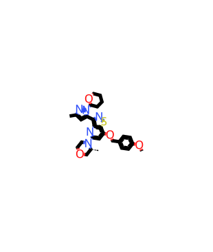 COc1ccc(COc2cc(N3CCOC[C@H]3C)nc3c(-c4cc(C)nn4C4CCCCO4)nsc23)cc1